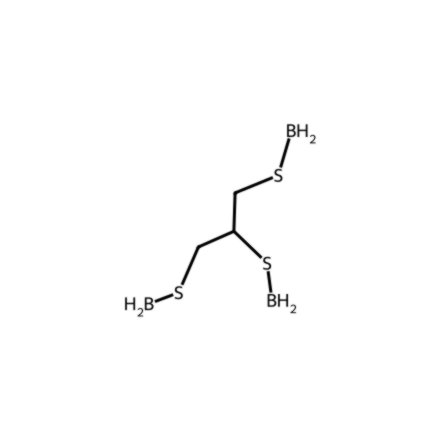 BSCC(CSB)SB